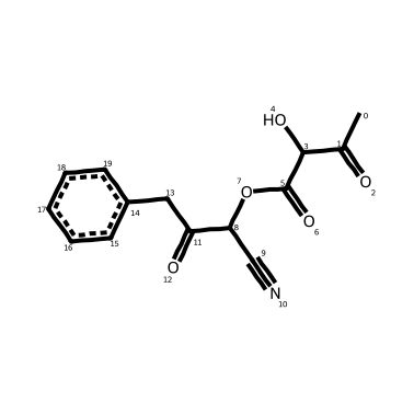 CC(=O)C(O)C(=O)OC(C#N)C(=O)Cc1ccccc1